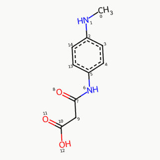 CNc1ccc(NC(=O)CC(=O)O)cc1